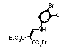 CCOC(=O)C(=CNc1ccc(Br)c(Cl)c1)C(=O)OCC